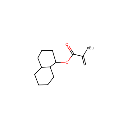 C=C(CCCC)C(=O)OC1CCCC2CCCCC21